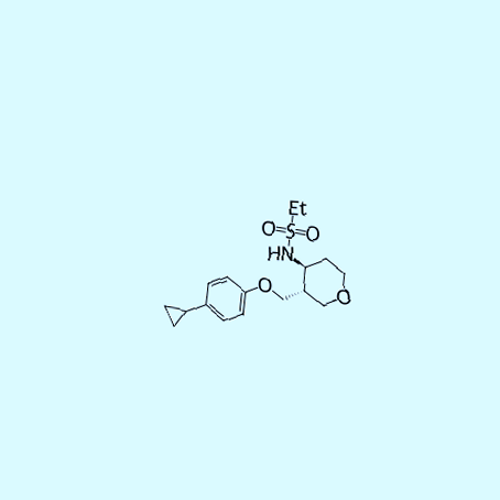 CCS(=O)(=O)N[C@H]1CCOC[C@@H]1COc1ccc(C2CC2)cc1